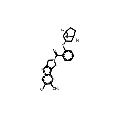 Cc1nc2c3c(nn2cc1Cl)CN(C(=O)c1ccccc1O[C@H]1C[C@H]2CC[C@@H](C1)N2)C3